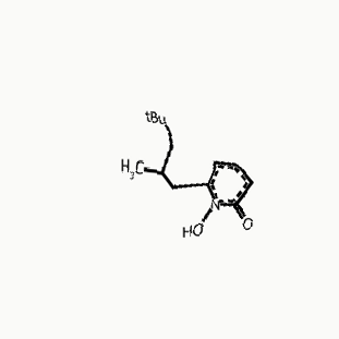 CC(Cc1cccc(=O)n1O)CC(C)(C)C